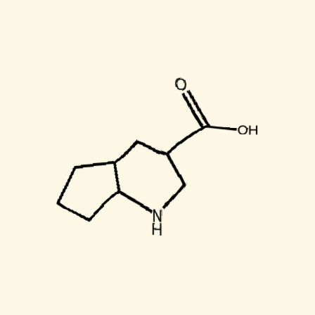 O=C(O)C1CNC2CCCC2C1